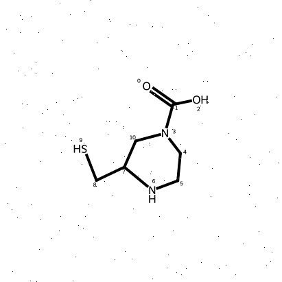 O=C(O)N1CCNC(CS)C1